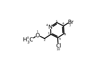 COCc1ncc(Br)cc1Cl